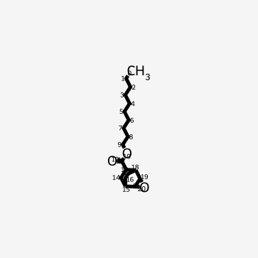 CCCCCCCCCCOC(=O)C1CC2CCC1C1OC21